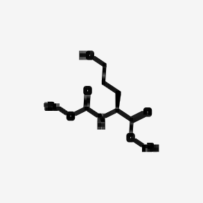 CCCCOC(=O)[C@H](CCCO)NC(=O)OC(C)(C)C